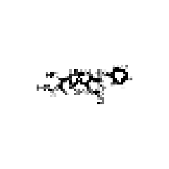 CC(C)[C@@]1(n2cnc3c(Nc4ccccc4)nc(Cl)nc32)O[C@H](CO)[C@@H](O)[C@H]1O